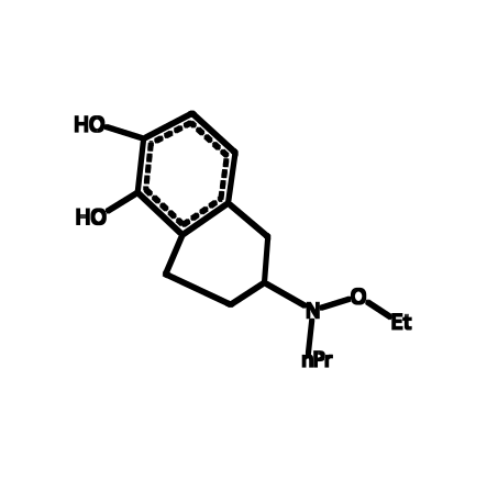 CCCN(OCC)C1CCc2c(ccc(O)c2O)C1